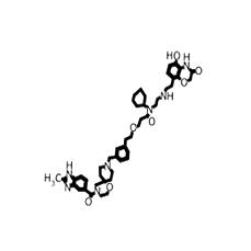 Cc1nc2cc(C(=O)N3CCOC4(CCN(Cc5cccc(CCOCCC(=O)N(CCNCCc6ccc(O)c7c6OCC(=O)N7)C6CCCCC6)c5)CC4)C3)ccc2[nH]1